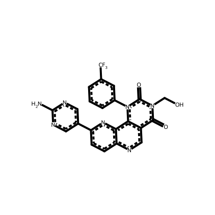 Nc1ncc(-c2ccc3ncc4c(=O)n(CO)c(=O)n(-c5cccc(C(F)(F)F)c5)c4c3n2)cn1